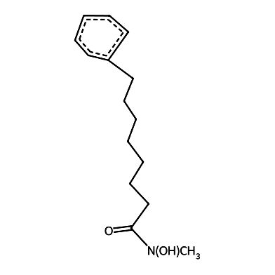 CN(O)C(=O)CCCCCCCc1ccccc1